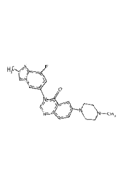 Cc1cn2cc(-n3cnc4ccc(N5CCN(C)CC5)cc4c3=O)cc(F)c2n1